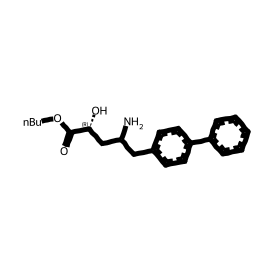 CCCCOC(=O)[C@H](O)CC(N)Cc1ccc(-c2ccccc2)cc1